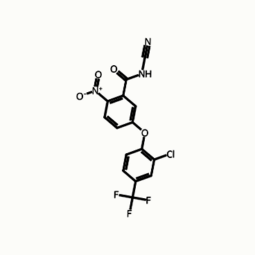 N#CNC(=O)c1cc(Oc2ccc(C(F)(F)F)cc2Cl)ccc1[N+](=O)[O-]